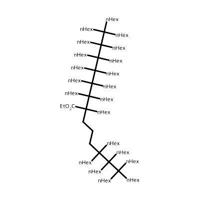 CCCCCCC(CCCCCC)(CCCCCC)C(CCCCCC)(CCCCCC)C(CCCCCC)(CCCCCC)CCCC(CCCCCC)(C(=O)OCC)C(CCCCCC)(CCCCCC)C(CCCCCC)(CCCCCC)C(CCCCCC)(CCCCCC)C(CCCCCC)(CCCCCC)C(CCCCCC)(CCCCCC)C(CCCCCC)(CCCCCC)CCCCCC